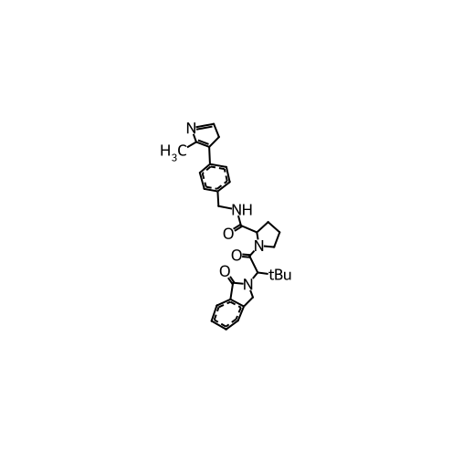 CC1=C(c2ccc(CNC(=O)C3CCCN3C(=O)C(N3Cc4ccccc4C3=O)C(C)(C)C)cc2)CC=N1